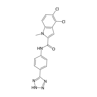 Cn1c(C(=O)Nc2ccc(-c3nn[nH]n3)cc2)cc2c(Cl)c(Cl)ccc21